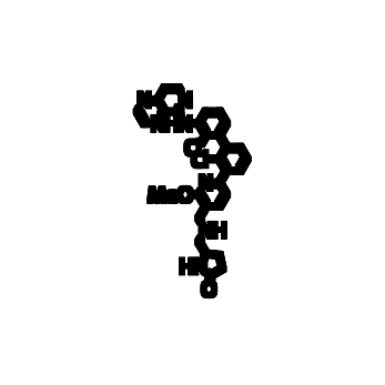 COc1nc(-c2cccc(-c3cccc(Nc4nccc5nccnc45)c3Cl)c2Cl)ccc1CNCC1CCC(=O)N1